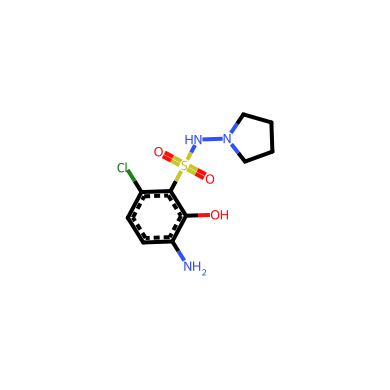 Nc1ccc(Cl)c(S(=O)(=O)NN2CCCC2)c1O